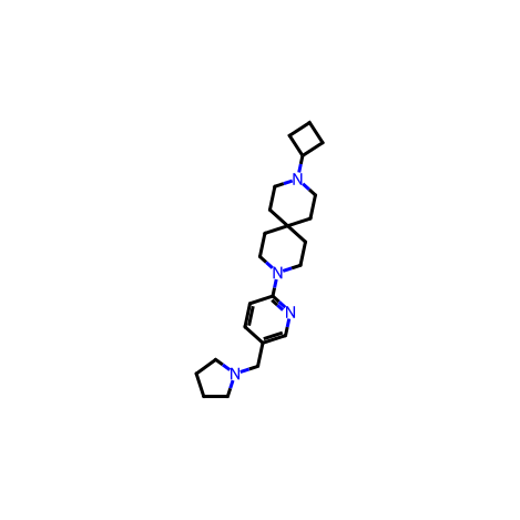 c1cc(N2CCC3(CC2)CCN(C2CCC2)CC3)ncc1CN1CCCC1